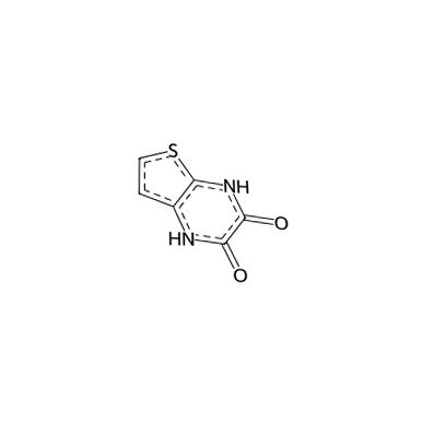 O=c1[nH]c2ccsc2[nH]c1=O